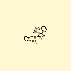 CCn1c(SCc2ccccc2[N+](=O)[O-])nnc1-c1ccccc1O